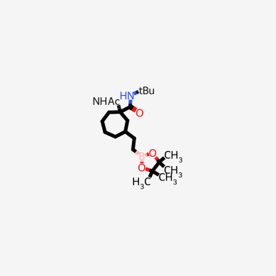 CC(=O)NC1(C(=O)NC(C)(C)C)CCCCC(CCB2OC(C)(C)C(C)(C)O2)C1